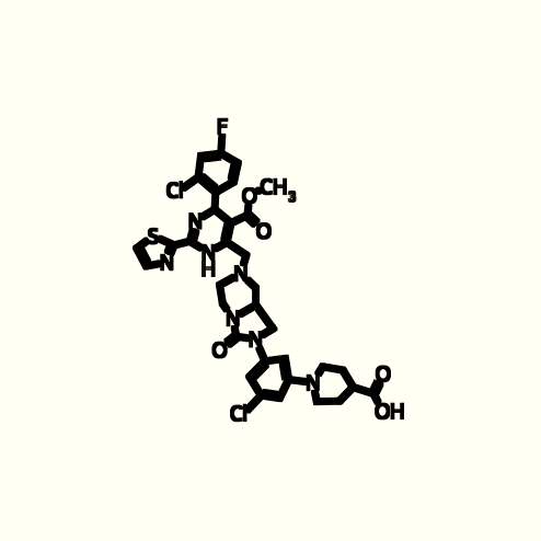 COC(=O)C1=C(CN2CCN3C(=O)N(c4cc(Cl)cc(N5CCC(C(=O)O)CC5)c4)CC3C2)NC(c2nccs2)=NC1c1ccc(F)cc1Cl